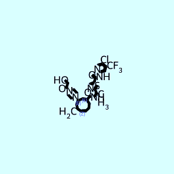 C=C1/C=C\CC/C(C(=O)N[C@H](C)c2ncc(C(=O)Nc3cc(C(F)(F)F)c(Cl)cn3)s2)=C\C(N2CCN(C(=O)CO)CC2)=C/1